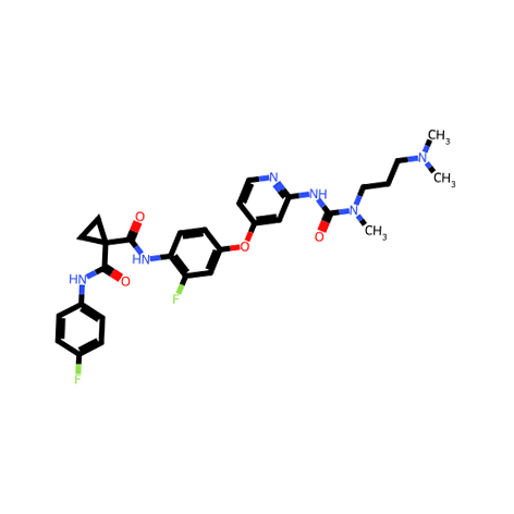 CN(C)CCCN(C)C(=O)Nc1cc(Oc2ccc(NC(=O)C3(C(=O)Nc4ccc(F)cc4)CC3)c(F)c2)ccn1